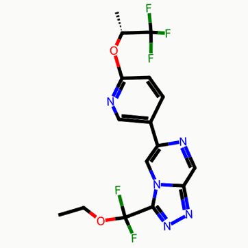 CCOC(F)(F)c1nnc2cnc(-c3ccc(O[C@H](C)C(F)(F)F)nc3)cn12